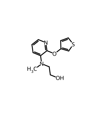 CN(CCO)c1cccnc1Oc1ccsc1